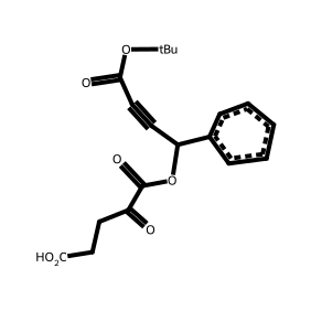 CC(C)(C)OC(=O)C#CC(OC(=O)C(=O)CCC(=O)O)c1ccccc1